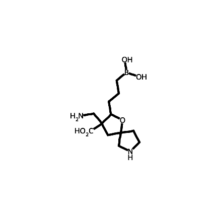 NCC1(C(=O)O)CC2(CCNC2)OC1CCCB(O)O